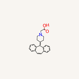 O=C(O)CN1CCC(=C2c3ccccc3C=Cc3ccccc32)CC1